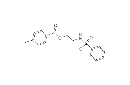 Cc1ccc(C(=O)OCCNS(=O)(=O)c2ccccc2)cc1